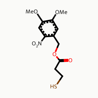 COc1cc(COC(=O)CCS)c([N+](=O)[O-])cc1OC